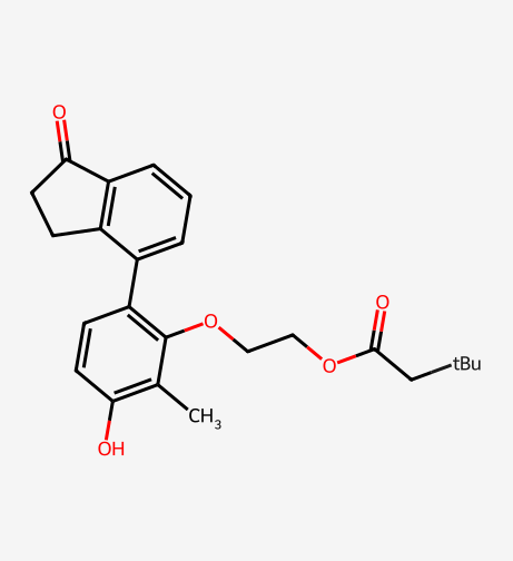 Cc1c(O)ccc(-c2cccc3c2CCC3=O)c1OCCOC(=O)CC(C)(C)C